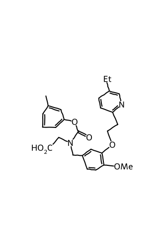 CCc1ccc(CCOc2cc(CN(CC(=O)O)C(=O)Oc3cccc(C)c3)ccc2OC)nc1